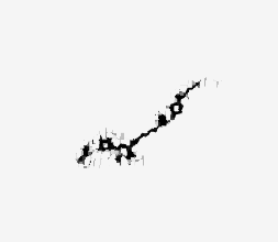 CC(C)NCCNC(=O)c1ccc(Cn2cc(CCCCC#Cc3cn(C4OC(COP(=O)(O)OC(C)(C)C)C(OC(C)(C)C)C4O)c(=O)[nH]c3=O)nn2)nc1